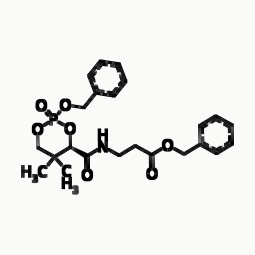 CC1(C)COP(=O)(OCc2ccccc2)O[C@H]1C(=O)NCCC(=O)OCc1ccccc1